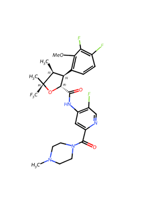 COc1c([C@H]2[C@H](C(=O)Nc3cc(C(=O)N4CCN(C)CC4)ncc3F)O[C@@](C)(C(F)(F)F)[C@H]2C)ccc(F)c1F